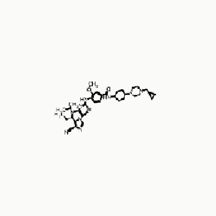 CC[C@@H]1c2c(C#N)ncn2-c2cnc(Nc3ccc(C(=O)NC4CCC(N5CCN(CC6CC6)CC5)CC4)cc3OC)nc2N1C(C)C